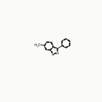 Cc1ccc2c(-c3ccccc3)onc2c1